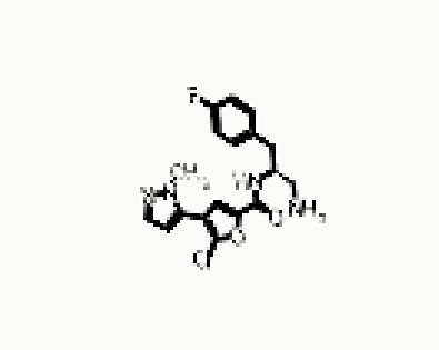 Cn1nccc1-c1cc(C(=O)N[C@H](CN)Cc2ccc(F)cc2)oc1Cl